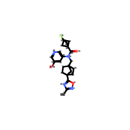 CC(C)(C)c1noc(C23CCC(CN(C(=O)C45CC(F)(C4)C5)c4cncc(Br)c4)(CC2)C3)n1